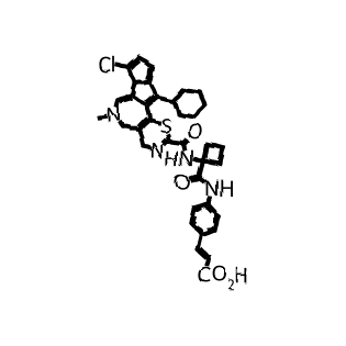 CN1C=C2C(=C(C3CCCCC3)C3=CC=C(Cl)C23)C2=C(CN=C(C(=O)NC3(C(=O)Nc4ccc(/C=C/C(=O)O)cc4)CCC3)S2)C1